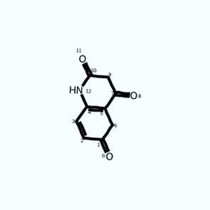 O=C1C=CC2=C(C1)C(=O)CC(=O)N2